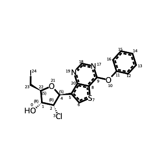 O[C@H]1[C@@H](Cl)[C@H](c2csc3c(Oc4ccccc4)ncnc23)O[C@@H]1CI